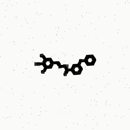 O=C(N/N=C/c1cc(Cl)c(O)c(Cl)c1)c1cccc(Oc2ccccc2)c1